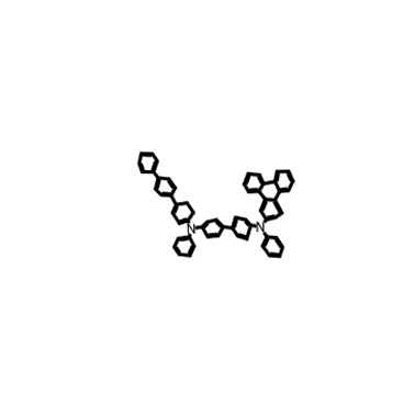 C1=C(c2ccc(-c3ccccc3)cc2)CCC(N(c2ccccc2)c2ccc(-c3ccc(N(c4ccccc4)c4ccc5c6ccccc6c6ccccc6c5c4)cc3)cc2)=C1